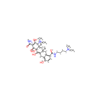 CN(C)CCCCNC(=O)c1ccc(O)c2c1C[C@H]1C[C@H]3[C@H](N(C)C)C(O)=C(C(N)=O)C(=O)[C@@]3(O)C(O)=C1C2